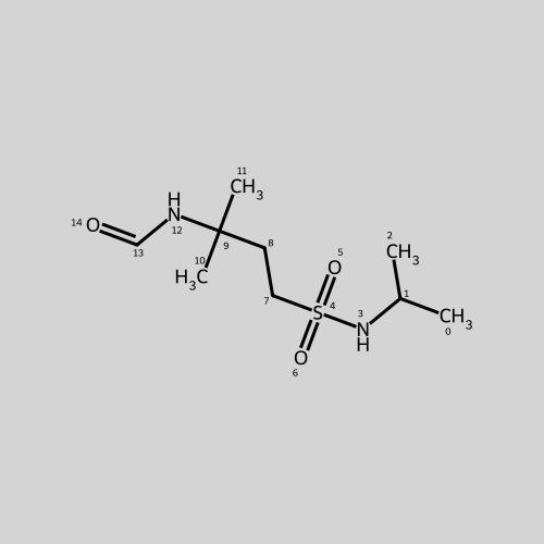 CC(C)NS(=O)(=O)CCC(C)(C)NC=O